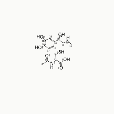 CC(=O)NC(CS)C(=O)O.CNCC(O)c1ccc(O)c(O)c1